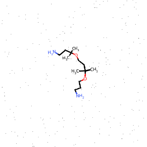 CC(C)(CCN)OCCC(C)(C)OCCCN